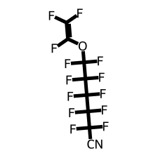 N#CC(F)(F)C(F)(F)C(F)(F)C(F)(F)C(F)(F)OC(F)=C(F)F